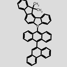 CC1(C)c2ccccc2-c2ccc3c(c21)c1ccccc1n3-c1c2ccccc2c(-c2cc3ccccc3c3ccccc23)c2ccccc12